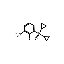 O=[N+]([O-])c1cccc(P(=O)(C2CC2)C2CC2)c1F